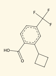 O=C(O)c1ccc(C(F)(F)F)cc1C1CCC1